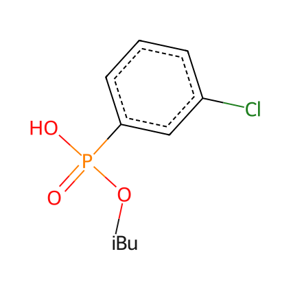 CCC(C)OP(=O)(O)c1cccc(Cl)c1